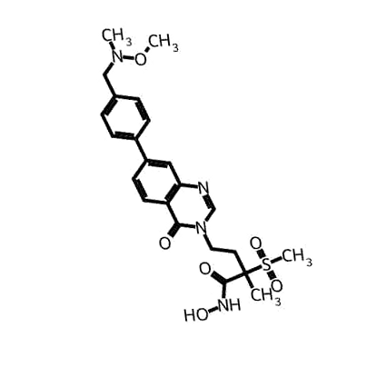 CON(C)Cc1ccc(-c2ccc3c(=O)n(CCC(C)(C(=O)NO)S(C)(=O)=O)cnc3c2)cc1